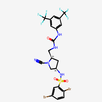 N#CN1C[C@H](NS(=O)(=O)c2cc(Br)ccc2Br)C[C@@H]1CNC(=O)Nc1cc(C(F)(F)F)cc(C(F)(F)F)c1